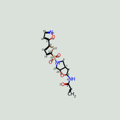 C=CC(=O)NC1CC2CN(S(=O)(=O)c3ccc(-c4ccno4)s3)CC2O1